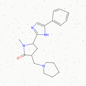 CN1C(=O)C(CN2CCCCC2)CC1c1ncc(-c2ccccc2)[nH]1